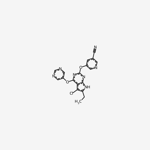 CCc1[nH]c2nc(Oc3cncc(C#N)c3)nc(Oc3cncnc3)c2c1Cl